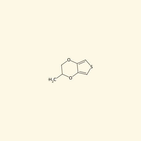 [CH2]C1COc2cscc2O1